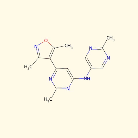 Cc1ncc(Nc2cc(-c3c(C)noc3C)nc(C)n2)cn1